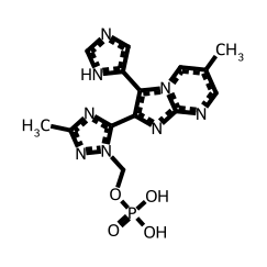 Cc1cnc2nc(-c3nc(C)nn3COP(=O)(O)O)c(-c3cnc[nH]3)n2c1